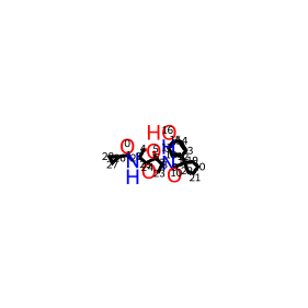 O=C(NC1COC2C(NC(=O)C3(c4ccc(O)cc4)CCCC3)COC12)C1CC1